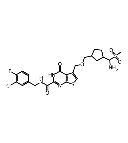 CS(=O)(=O)C(N)C1CCC(COCc2csc3nc(C(=O)NCc4ccc(F)c(Cl)c4)[nH]c(=O)c23)C1